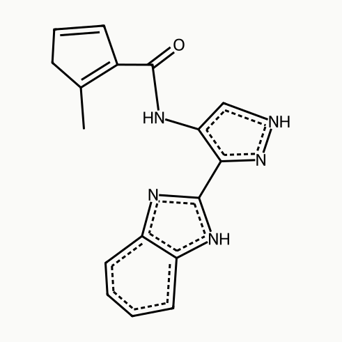 CC1=C(C(=O)Nc2c[nH]nc2-c2nc3ccccc3[nH]2)C=CC1